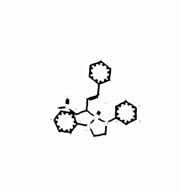 O=[N+]([O-])CC(C=Cc1ccccc1)P1(=O)N(c2ccccc2)CCN1c1ccccc1